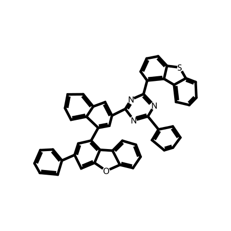 c1ccc(-c2cc(-c3cc(-c4nc(-c5ccccc5)nc(-c5cccc6sc7ccccc7c56)n4)cc4ccccc34)c3c(c2)oc2ccccc23)cc1